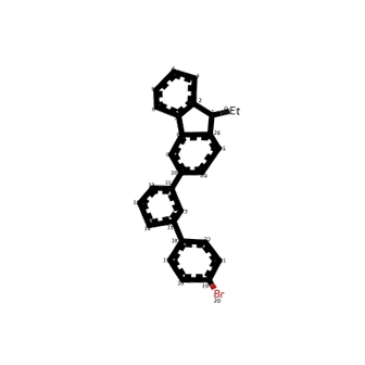 CCC1c2ccccc2-c2cc(-c3cccc(-c4ccc(Br)cc4)c3)ccc21